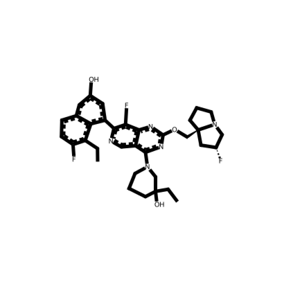 CCc1c(F)ccc2cc(O)cc(-c3ncc4c(N5CCCC(O)(CC)C5)nc(OC[C@@]56CCCN5C[C@H](F)C6)nc4c3F)c12